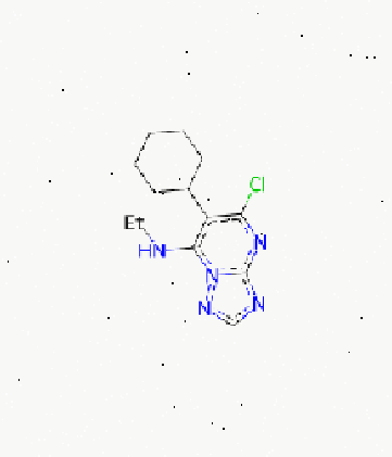 CCNc1c(C2CCCCC2)c(Cl)nc2ncnn12